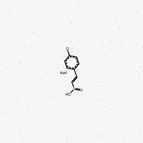 O=S(O)C=Cc1ccc(Cl)cc1.[NaH]